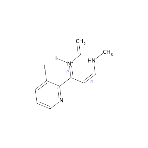 C=C/[N+](I)=C(\C=C/NC)c1ncccc1I